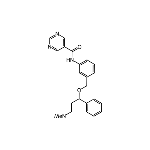 CNCCC(OCc1cccc(NC(=O)c2cncnc2)c1)c1ccccc1